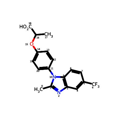 Cc1nc2cc(C(F)(F)F)ccc2n1-c1ccc(OC(C)C(=O)O)cc1